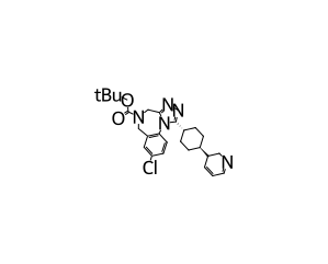 CC(C)(C)OC(=O)N1Cc2cc(Cl)ccc2-n2c(nnc2[C@H]2CC[C@H](C3C=CC=NC3)CC2)C1